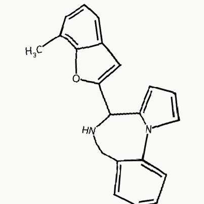 Cc1cccc2cc(C3NCc4ccccc4-n4cccc43)oc12